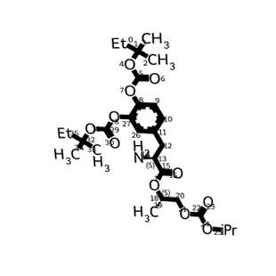 CCC(C)(C)OC(=O)Oc1ccc(C[C@H](N)C(=O)O[C@@H](C)COC(=O)OC(C)C)cc1OC(=O)OC(C)(C)CC